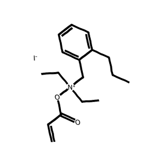 C=CC(=O)O[N+](CC)(CC)Cc1ccccc1CCC.[I-]